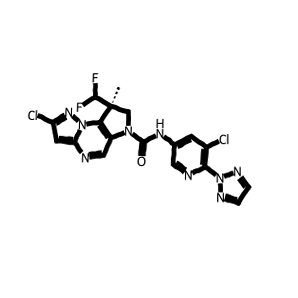 C[C@]1(C(F)F)CN(C(=O)Nc2cnc(-n3nccn3)c(Cl)c2)c2cnc3cc(Cl)nn3c21